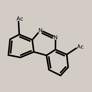 CC(=O)c1cccc2c1nnc1c(C(C)=O)cccc12